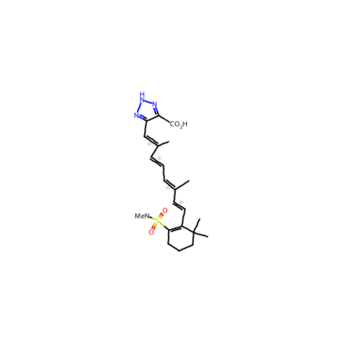 CNS(=O)(=O)C1=C(/C=C/C(C)=C/C=C/C(C)=C/c2n[nH]nc2C(=O)O)C(C)(C)CCC1